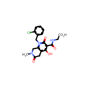 CN1Cc2c(c(O)c(C(=O)NCC(=O)O)c(=O)n2Cc2ccccc2Cl)CC1=O